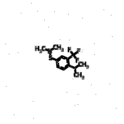 CC(C)c1ccc(SN(C)C)cc1C(F)(F)F